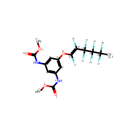 CCCOC(=O)Nc1cc(NC(=O)OCCC)cc(OC(F)=C(F)C(F)(F)C(F)(F)C(F)(F)C(F)(F)F)c1